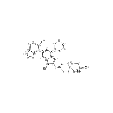 CCn1c(CN2CCC3(CC2)CNC(=O)CO3)nc2c(N3CCOCC3)nc(-c3c(F)ccc4[nH]ccc34)nc21